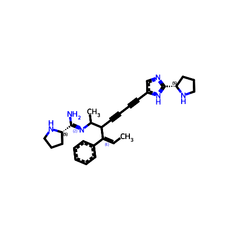 C/C=C(/c1ccccc1)C(C#CC#Cc1cnc([C@@H]2CCCN2)[nH]1)C(C)/N=C(\N)[C@@H]1CCCN1